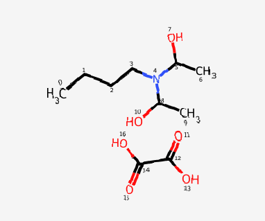 CCCCN(C(C)O)C(C)O.O=C(O)C(=O)O